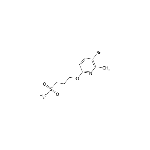 Cc1nc(OCCCS(C)(=O)=O)ccc1Br